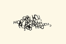 COc1cccc2[nH]c(C(=O)NC(CC(C)C)C(=O)NC(C[C@@H]3CCN(C(C)COC(=O)O)C3=O)C(=O)COP(=O)(OC)OC)cc12